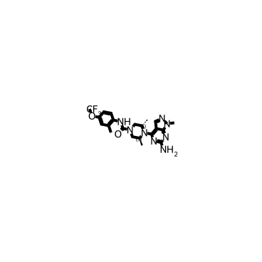 Cc1cc(OC(F)(F)F)ccc1NC(=O)N1C[C@H](C)N(c2nc(N)nc3c2cnn3C)[C@@H](C)C1